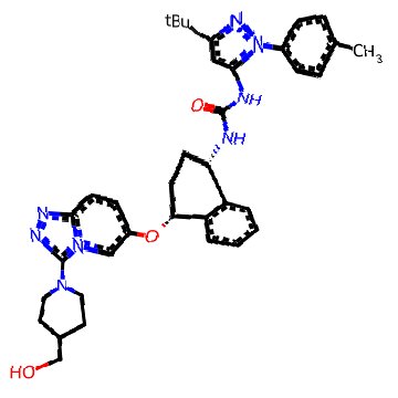 Cc1ccc(-n2nc(C(C)(C)C)cc2NC(=O)N[C@H]2CC[C@@H](Oc3ccc4nnc(N5CCC(CO)CC5)n4c3)c3ccccc32)cc1